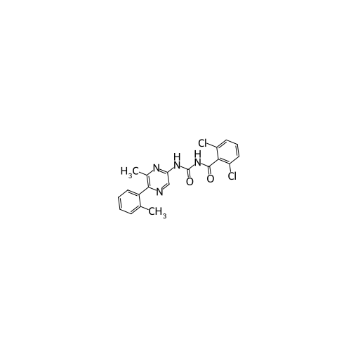 Cc1ccccc1-c1ncc(NC(=O)NC(=O)c2c(Cl)cccc2Cl)nc1C